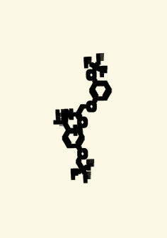 C[C@@H](NC(=O)COc1cccc(OC(F)(F)F)c1)c1ccc(OCC(F)(F)F)cn1